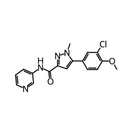 COc1ccc(-c2cc(C(=O)Nc3cccnc3)nn2C)cc1Cl